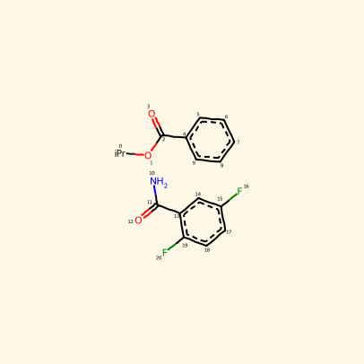 CC(C)OC(=O)c1ccccc1.NC(=O)c1cc(F)ccc1F